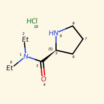 CCN(CC)C(=O)[C@@H]1CCCN1.Cl